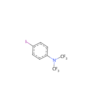 FC(F)(F)N(c1ccc(I)cc1)C(F)(F)F